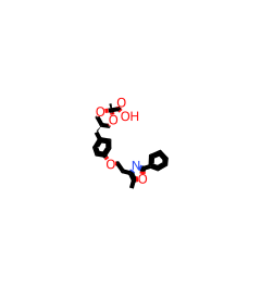 Cc1oc(-c2ccccc2)nc1CCOc1ccc(C[C@H]2CO[C@@](C)(C(=O)O)OC2)cc1